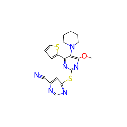 COc1nc(Sc2cc(C#N)ncn2)nc(-c2cccs2)c1N1CCCCC1